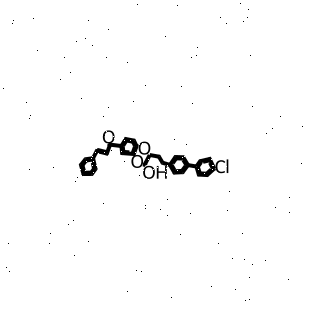 O=C(C=Cc1ccccc1)c1ccc(OC(CCc2ccc(-c3ccc(Cl)cc3)cc2)C(=O)O)cc1